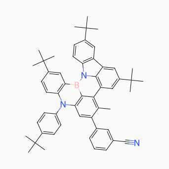 Cc1c(-c2cccc(C#N)c2)cc2c3c1-c1cc(C(C)(C)C)cc4c5cc(C(C)(C)C)ccc5n(c14)B3c1cc(C(C)(C)C)ccc1N2c1ccc(C(C)(C)C)cc1